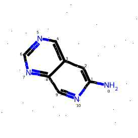 Nc1cc2cncnc2cn1